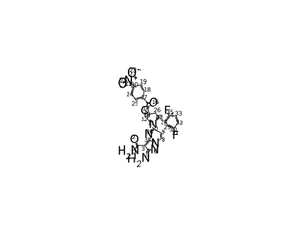 NC(=O)c1c(N)nn2ccc(N3C[C@@H](OC(=O)c4ccc([N+](=O)[O-])cc4)C[C@@H]3c3cc(F)ccc3F)nc12